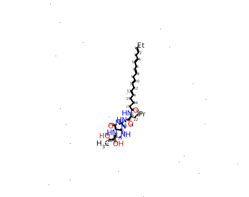 CCC=CCC=CCC=CCC=CCC=CCCCC(=O)N[C@@H](CC(C)C)C(=O)NC1=NC(=O)C2N[C@@H]([C@@H](O)[C@H](C)O)CNC2=N1